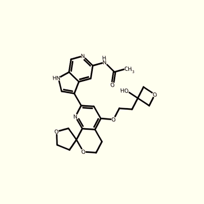 CC(=O)Nc1cc2c(-c3cc(OCCC4(O)COC4)c4c(n3)C3(CCOC3)OCC4)c[nH]c2cn1